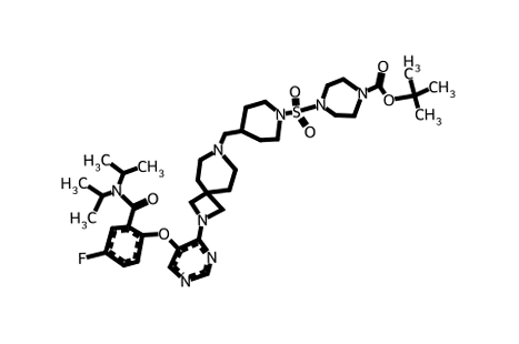 CC(C)N(C(=O)c1cc(F)ccc1Oc1cncnc1N1CC2(CCN(CC3CCN(S(=O)(=O)N4CCN(C(=O)OC(C)(C)C)CC4)CC3)CC2)C1)C(C)C